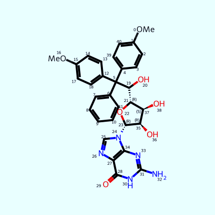 COc1ccc(C(c2ccccc2)(c2ccc(OC)cc2)C(O)[C@H]2O[C@@H](n3cnc4c(=O)[nH]c(N)nc43)[C@H](O)[C@@H]2O)cc1